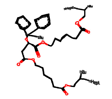 CCCCCCCC(CCCC)COC(=O)CCCCCOC(=O)CC(O[Si](c1ccccc1)(c1ccccc1)C(C)(C)C)C(=O)OCCCCCC(=O)OCC(CCCC)CCCCCCC